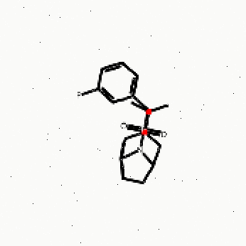 CC(C)N1CC2CCC(C1)N2S(=O)(=O)Cc1cccc(F)c1